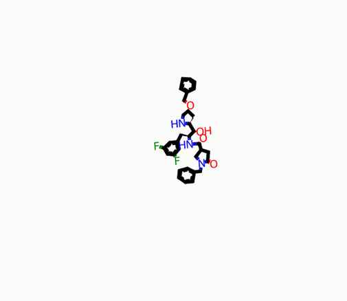 O=C(N[C@@H](Cc1cc(F)cc(F)c1)[C@H](O)[C@H]1C[C@@H](OCc2ccccc2)CN1)C1CC(=O)N(Cc2ccccc2)C1